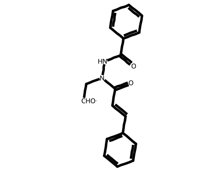 O=[C]CN(NC(=O)c1ccccc1)C(=O)C=Cc1ccccc1